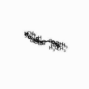 Cc1ncsc1-c1ccc([C@@H](C)NC(=O)[C@@H]2CCCN2C(=O)[C@@H](NC(=O)COCCCCOc2ccc(C(=O)NC3C(C)(C)CC3(C)C)cc2)C(C)(C)C)cc1